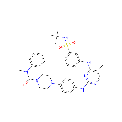 Cc1cnc(Nc2ccc(N3CCN(C(=O)N(C)c4ccccc4)CC3)cc2)nc1Nc1cccc(S(=O)(=O)NC(C)(C)C)c1